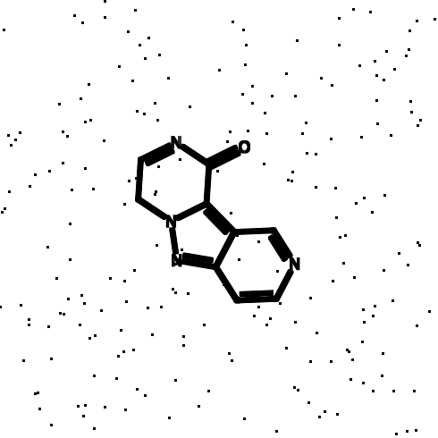 O=C1N=CCn2nc3ccncc3c21